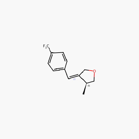 C[C@@H]1COC/C1=C\c1ccc(C(F)(F)F)cc1